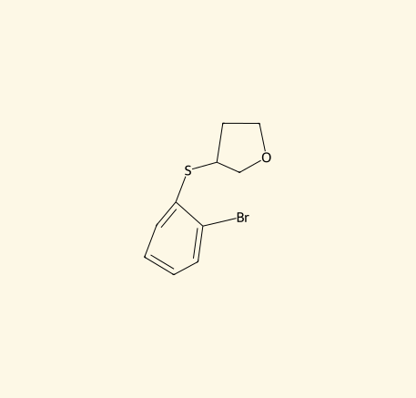 Brc1ccccc1SC1CCOC1